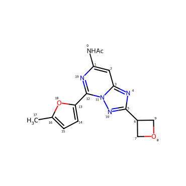 CC(=O)Nc1cc2nc(C3COC3)nn2c(-c2ccc(C)o2)n1